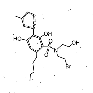 CCCCCc1cc(O)c(-c2cccc(C)c2)c(O)c1S(=O)(=O)N(CCO)CCBr